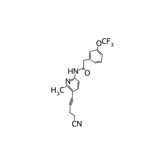 Cc1nc(NC(=O)Cc2cccc(OC(F)(F)F)c2)ccc1C#CCCC#N